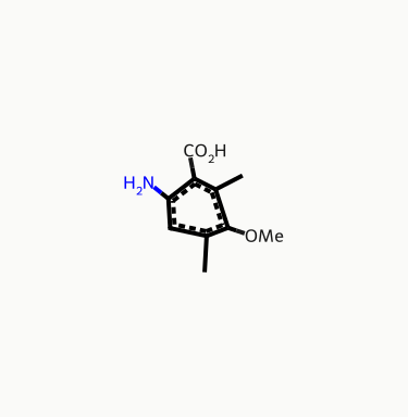 COc1c(C)cc(N)c(C(=O)O)c1C